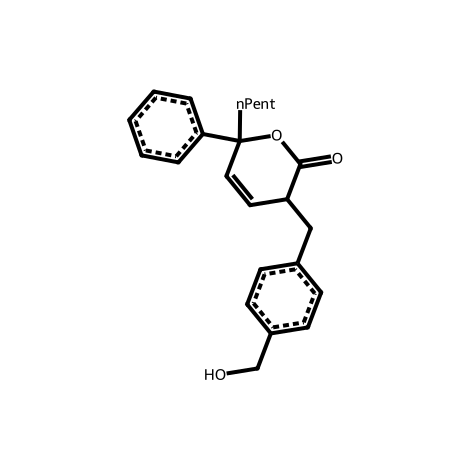 CCCCCC1(c2ccccc2)C=CC(Cc2ccc(CO)cc2)C(=O)O1